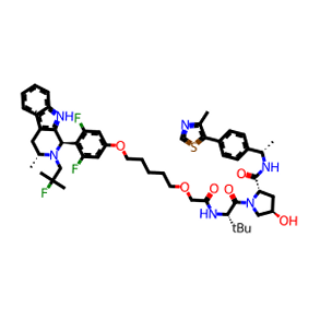 Cc1ncsc1-c1ccc([C@H](C)NC(=O)[C@@H]2C[C@@H](O)CN2C(=O)[C@@H](NC(=O)COCCCCCOc2cc(F)c([C@@H]3c4[nH]c5ccccc5c4C[C@@H](C)N3CC(C)(C)F)c(F)c2)C(C)(C)C)cc1